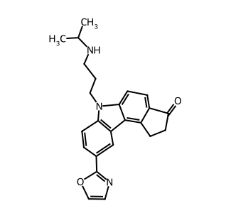 CC(C)NCCCn1c2ccc(-c3ncco3)cc2c2c3c(ccc21)C(=O)CC3